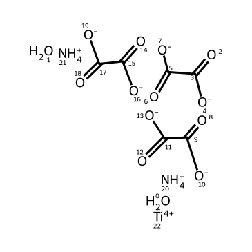 O.O.O=C([O-])C(=O)[O-].O=C([O-])C(=O)[O-].O=C([O-])C(=O)[O-].[NH4+].[NH4+].[Ti+4]